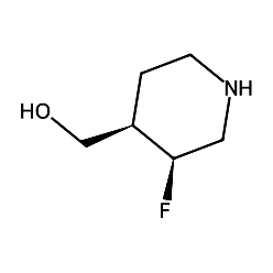 OC[C@H]1CCNC[C@H]1F